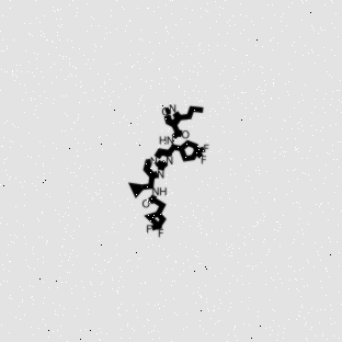 CCCc1nocc1C(=O)N[C@H](c1cn2ccc([C@@H](NC(=O)CC3CC(F)(F)C3)C3CC3)nc2n1)C1CCC(F)(F)CC1